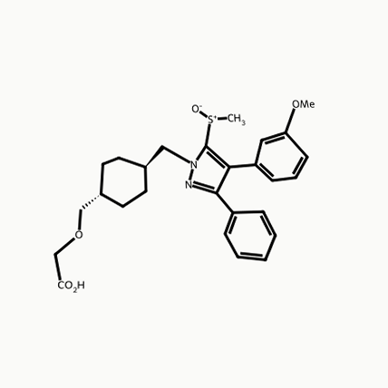 COc1cccc(-c2c(-c3ccccc3)nn(C[C@H]3CC[C@H](COCC(=O)O)CC3)c2[S+](C)[O-])c1